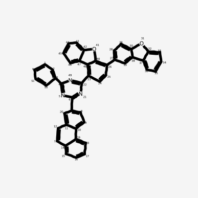 c1ccc(-c2nc(-c3ccc4c(ccc5ccccc54)c3)nc(-c3ccc(-c4ccc5oc6ccccc6c5c4)c4oc5ccccc5c34)n2)cc1